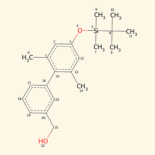 Cc1cc(O[Si](C)(C)C(C)(C)C)cc(C)c1-c1cccc(CO)c1